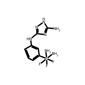 BS(B)(F)(F)(F)c1cccc(Nc2n[nH]c(N)n2)c1